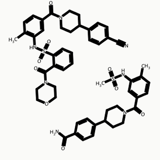 Cc1ccc(C(=O)N2CCC(c3ccc(C#N)cc3)CC2)cc1NS(=O)(=O)c1ccccc1C(=O)N1CCOCC1.Cc1ccc(C(=O)N2CCC(c3ccc(C(N)=O)cc3)CC2)cc1NS(C)(=O)=O